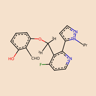 [2H]C([2H])(Oc1cccc(O)c1C=O)c1c(F)ccnc1-c1ccnn1C(C)C